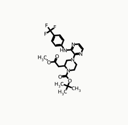 COC(=O)CC1CN(c2nccnc2Nc2ccc(C(F)(F)F)cc2)CCN1C(=O)OC(C)(C)C